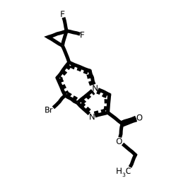 CCOC(=O)c1cn2cc(C3CC3(F)F)cc(Br)c2n1